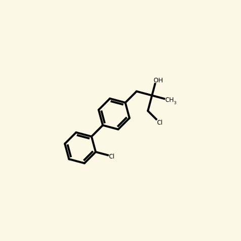 CC(O)(CCl)Cc1ccc(-c2ccccc2Cl)cc1